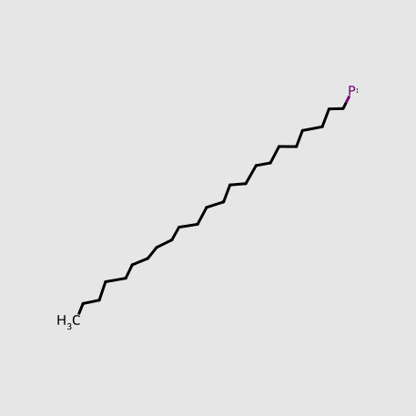 CCCCCCCCCCCCCCCCCCCCCCC[P]